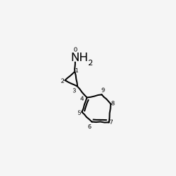 NC1CC1C1=CC=CCC1